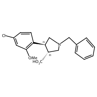 COc1cc(Cl)ccc1[C@H]1CN(Cc2ccccc2)C[C@@H]1C(=O)O